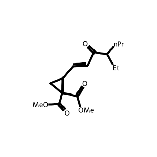 CCCC(CC)C(=O)/C=C/C1CC1(C(=O)OC)C(=O)OC